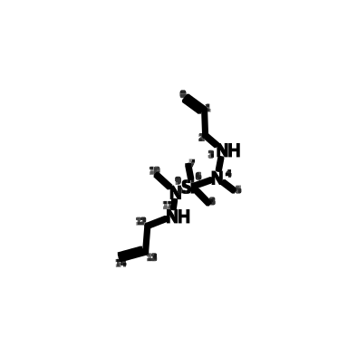 C=CCNN(C)[Si](C)(C)N(C)NCC=C